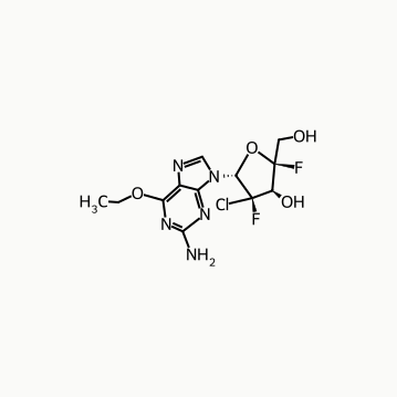 CCOc1nc(N)nc2c1ncn2[C@@H]1O[C@](F)(CO)[C@@H](O)[C@]1(F)Cl